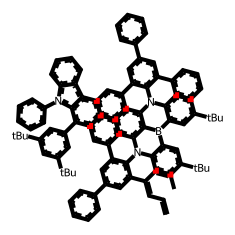 C=C/C=C(\C=C/C)c1cc(-c2ccccc2)cc(-c2ccccc2)c1N1c2ccc(C(C)(C)C)cc2B2c3cc(C(C)(C)C)ccc3N(c3c(-c4ccccc4)cc(-c4ccccc4)cc3-c3ccccc3)c3cc(-c4cc(-c5cc(C(C)(C)C)cc(C(C)(C)C)c5)c5c(c4)c4ccccc4n5-c4ccccc4)cc1c32